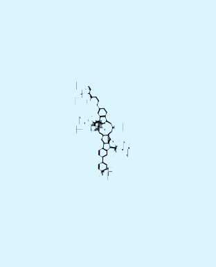 C=C/C(F)=C(\C=C/Cc1ccc2c(c1)C(=C(C#N)C#N)C1=N\C(C)/C=c3/cc4c(n/c3=C/C(C)/C=C\12)C(=C(C#N)C#N)c1cc(-c2ccc(C(F)(F)F)c(F)c2)ccc1-4)C(F)(F)F